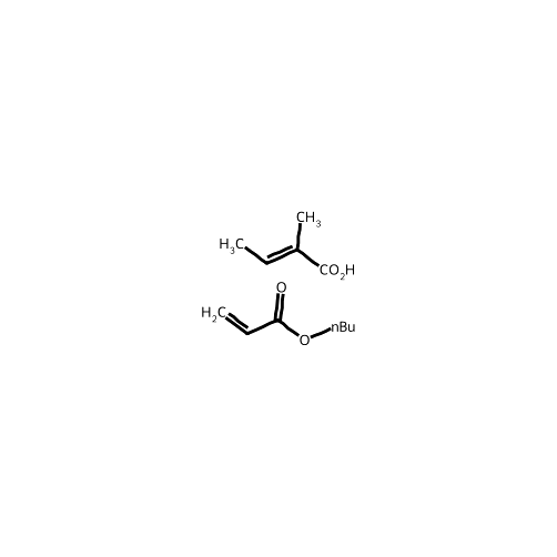 C=CC(=O)OCCCC.CC=C(C)C(=O)O